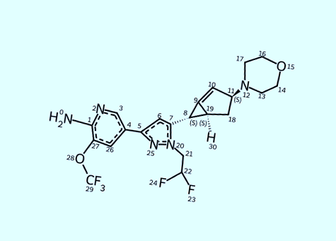 Nc1ncc(-c2cc([C@@H]3C4=C[C@@H](N5CCOCC5)C[C@H]43)n(CC(F)F)n2)cc1OC(F)(F)F